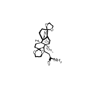 C[C@]12CC[C@H]3[C@@H](CCC4(OCCO4)[C@]3(C)CCC(N)=O)[C@@H]1CCC21OCCO1